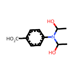 CC(O)N(c1ccc(C(=O)O)cc1)C(C)O